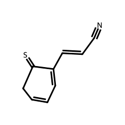 N#CC=CC1=CC=CCC1=S